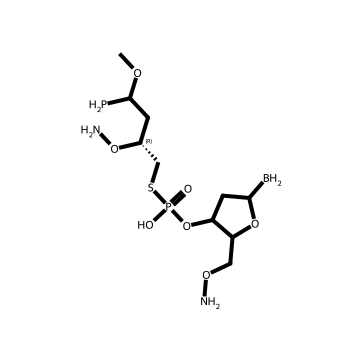 BC1CC(OP(=O)(O)SC[C@@H](CC(P)OC)ON)C(CON)O1